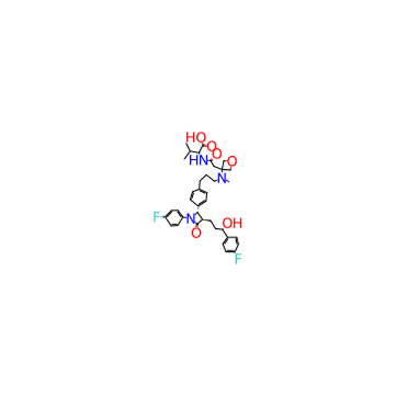 CC(C)[C@@H](NC(=O)CC1(N(C)CCCc2ccc([C@@H]3[C@@H](CC[C@H](O)c4ccc(F)cc4)C(=O)N3c3ccc(F)cc3)cc2)COC1)C(=O)O